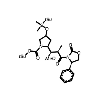 CO[C@@H](C1CC(O[Si](C)(C)C(C)(C)C)CN1C(=O)OC(C)(C)C)[C@@H](C)C(=O)N1C(=O)OC[C@H]1c1ccccc1